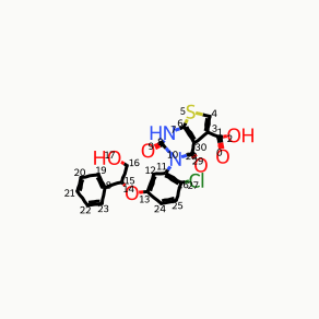 O=C(O)c1csc2[nH]c(=O)n(-c3cc(OC(CO)c4ccccc4)ccc3Cl)c(=O)c12